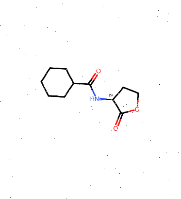 O=C(N[C@H]1CCOC1=O)C1CCCCC1